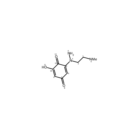 CNCCN(N)C1=CC(=O)C=C(O)C1=O